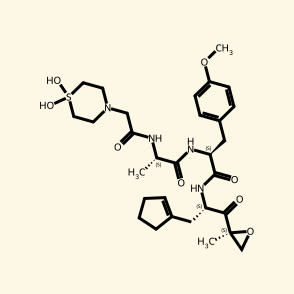 COc1ccc(C[C@H](NC(=O)[C@H](C)NC(=O)CN2CCS(O)(O)CC2)C(=O)N[C@@H](CC2=CCCC2)C(=O)[C@]2(C)CO2)cc1